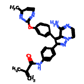 C=C(C)C(=O)Nc1ccc(-c2nn3ccnc(N)c3c2-c2ccc(Oc3nccc(C)n3)cc2)cc1